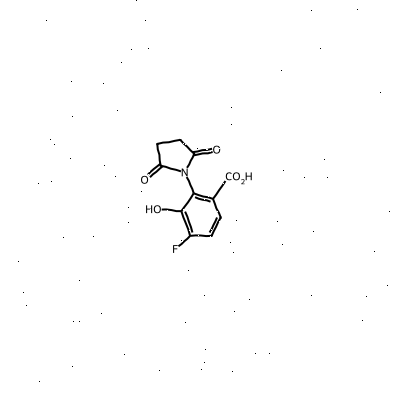 O=C(O)c1ccc(F)c(O)c1N1C(=O)CCC1=O